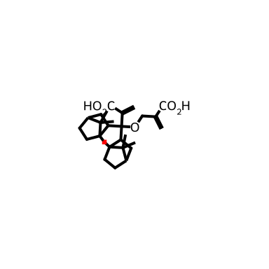 C=C(COC(C(=C)C(=O)O)(C1CC2CCC1(C)C2(C)C)C1CC2CCC1(C)C2(C)C)C(=O)O